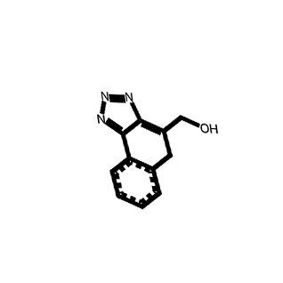 OCC1=C2N=NN=C2c2ccccc2C1